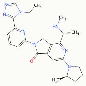 CCn1cnnc1-c1cccc(N2Cc3c(cc(N4CCC[C@H]4C)nc3[C@@H](C)NC)C2=O)n1